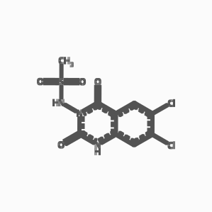 CS(=O)(=O)Nn1c(=O)[nH]c2cc(Cl)c(Cl)cc2c1=O